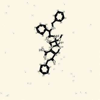 COC1(NC(=O)C(OCc2ccccc2)c2ccccc2)C(=O)N2C(C(=O)O)=C(C(=O)Cc3ccccc3)CS[C@H]21